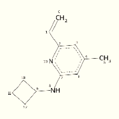 C=Cc1cc(C)cc(NC2CCC2)n1